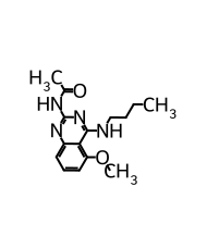 CCCCNc1nc(NC(C)=O)nc2cccc(OC)c12